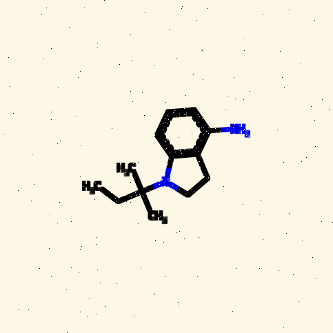 CCC(C)(C)N1CCc2c(N)cccc21